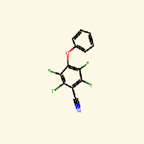 N#Cc1c(F)c(F)c(Oc2ccccc2)c(F)c1F